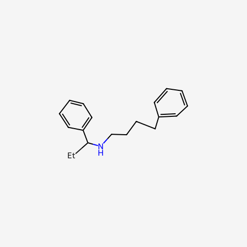 CCC(NCCCCc1ccccc1)c1ccccc1